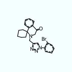 O=C1CN(Cc2cn(-c3ccccc3Br)nn2)C2(CCCCC2)c2ccccc21